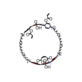 C=CC(=O)Oc1cc2ccc1C1=C(O)/C(=c3\cc/c(cc3OC(=O)C=C)=[N+](/C)CCOCCCOCC/[N+](C)=c3\cc/c(c(OC(=O)C=C)c3)=C3/C(=O)C(=C3O)c3ccc(cc3OC(=O)C=C)N(C)CCOCCCOCCN2C)C1=O